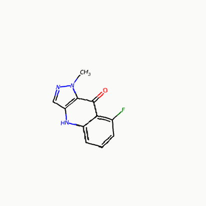 Cn1ncc2[nH]c3cccc(F)c3c(=O)c21